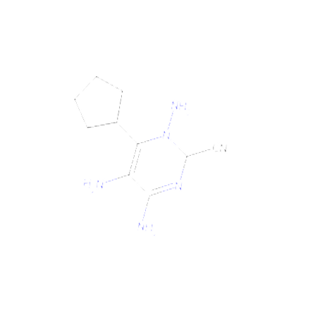 N#CC1N=C(N)C(N)=C(C2CCCC2)N1N